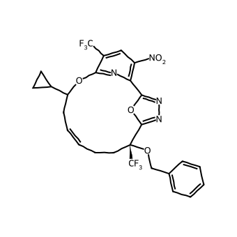 O=[N+]([O-])c1cc(C(F)(F)F)c2nc1-c1nnc(o1)[C@@](OCc1ccccc1)(C(F)(F)F)CCC=CCC(C1CC1)O2